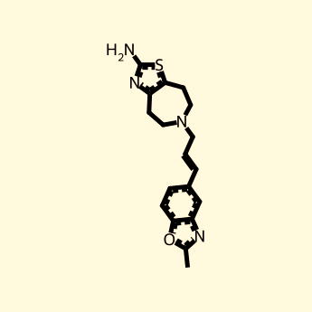 Cc1nc2cc(/C=C/CN3CCc4nc(N)sc4CC3)ccc2o1